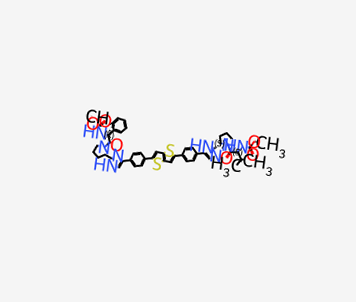 COC(=O)N[C@H](C(=O)N1CCC[C@H]1c1ncc(-c2ccc(-c3cc4sc(-c5ccc(-c6c[nH]c(C7CCCN7C(=O)[C@H](NC(=O)OC)c7ccccc7)n6)cc5)cc4s3)cc2)[nH]1)C(C)C